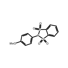 COc1ccc(N2S(=O)(=O)c3ccccc3S2(=O)=O)cc1